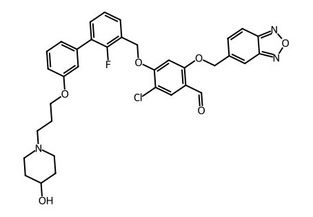 O=Cc1cc(Cl)c(OCc2cccc(-c3cccc(OCCCN4CCC(O)CC4)c3)c2F)cc1OCc1ccc2nonc2c1